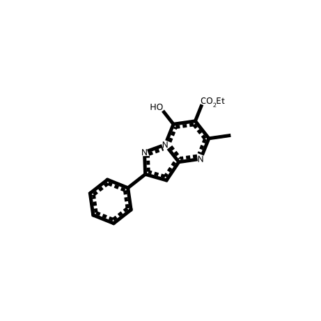 CCOC(=O)c1c(C)nc2cc(-c3ccccc3)nn2c1O